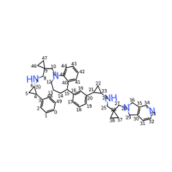 c1ccc(C2C[C@@H]2NCC2(CN3CCCC(c4cccc(C5CC5NCC5(CN6Cc7ccncc7C6)CC5)c4)c4ccccc43)CC2)cc1